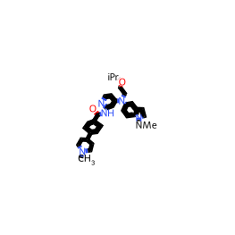 CNn1ccc2cc(N(CCOC(C)C)c3ccnc(NC(=O)c4ccc(C5CCN(C)CC5)cc4)c3)ccc21